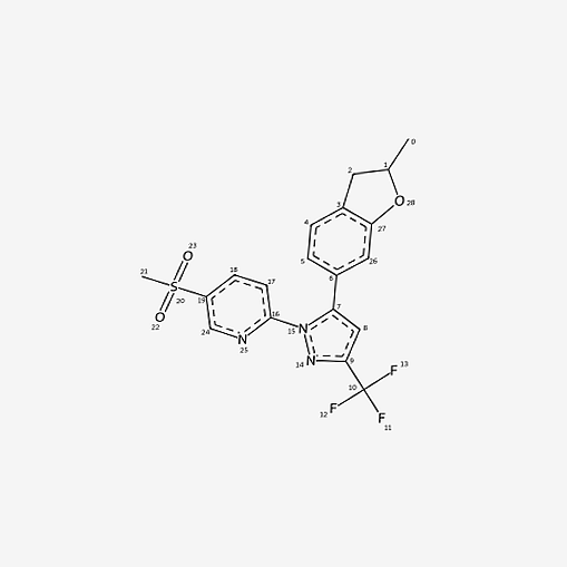 CC1Cc2ccc(-c3cc(C(F)(F)F)nn3-c3ccc(S(C)(=O)=O)cn3)cc2O1